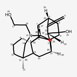 C=C1[C@H]2CCC3(C(C2)[C@@]24CCC[C@@]5(C)CN(CCO)[C@@H]2O[C@@H]3CC54)[C@H]1O